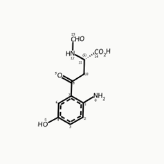 Nc1ccc(O)cc1C(=O)C[C@H](NC=O)C(=O)O